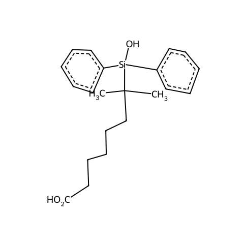 CC(C)(CCCCCC(=O)O)[Si](O)(c1ccccc1)c1ccccc1